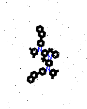 Cc1cc(C)cc(N(c2ccc(-c3ccc4ccccc4c3)cc2)c2ccc3c(c2)C(C)(C)c2cc(N(c4ccc(-c5ccc6ccccc6c5)cc4)c4cc(C)cc(C)c4)cc4c2N3c2ccccc2C4(C)C)c1